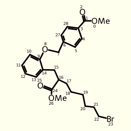 COC(=O)c1ccc(COc2ccccc2CC(CCCCCCBr)C(=O)OC)cc1